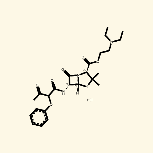 CCN(CC)CCOC(=O)[C@@H]1N2C(=O)[C@@H](NC(=O)C(Oc3ccccc3)C(C)=O)[C@H]2SC1(C)C.Cl